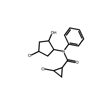 O=C(C1CC1Cl)N(c1ccccc1)C1CC(Cl)CC1O